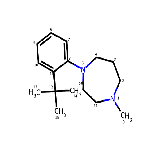 CN1CCCN(c2ccccc2C(C)(C)C)CC1